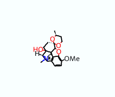 COc1ccc2c3c1OC1[C@]4(CCC5(O)[C@@H](C2)N(C)CC[C@]315)OCC[C@H](C)O4